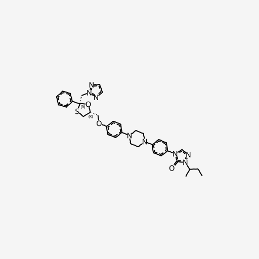 CCC(C)n1ncn(-c2ccc(N3CCN(c4ccc(OC[C@@H]5CS[C@@](Cn6nccn6)(c6ccccc6)O5)cc4)CC3)cc2)c1=O